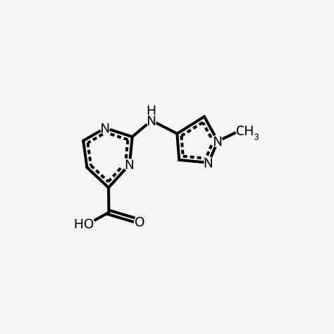 Cn1cc(Nc2nccc(C(=O)O)n2)cn1